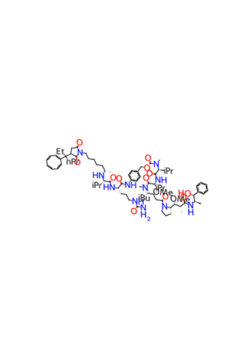 CCCC(CC)(C1=C/C=C\C=C/C=C\1)C1CC(=O)N(CCCCC[C@H](C)N[C@H](C(=O)N[C@@H](CCCNC(N)=O)C(=O)Nc2ccc(COC(=O)N(C)[C@H](C(=O)N[C@H](C(=O)N(C)[C@@H]([C@@H](C)CC)[C@@H](CC(=O)N3CCC[C@H]3[C@H](OC)[C@@H](C)C(=O)N[C@H](C)[C@@H](O)c3ccccc3)OC)C(C)C)C(C)C)cc2)C(C)C)C1=O